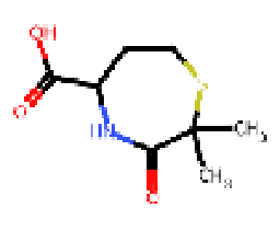 CC1(C)SCCC(C(=O)O)NC1=O